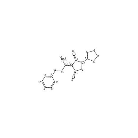 O=C1CN(C2CCCC2)C(=O)N1C(S)CCc1ccccc1